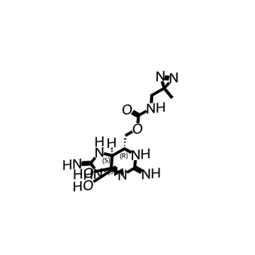 CC1(CNC(=O)OC[C@@H]2NC(=N)N3CCC(O)(O)[C@@]34NC(=N)N[C@@H]24)N=N1